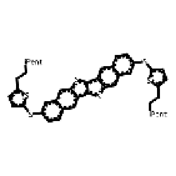 CCCC(C)CCc1ccc(Sc2ccc3cc4c(cc3c2)sc2c3cc5ccc(Sc6ccc(CCC(C)CCC)s6)cc5cc3sc42)s1